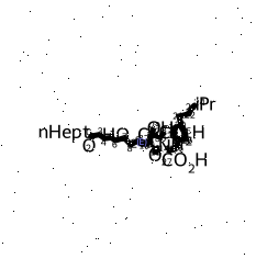 CCCCCCCC(=O)CCCCCC/C=C/[C@H](C(=O)N[C@@H](Cc1ccc(CCCC(C)C)cc1)C(=O)O)[C@@](O)(CC(=O)O)C(=O)O